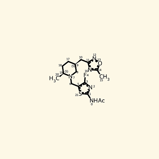 CC(=O)Nc1nc(F)c(CN2C[C@H](Cc3noc(C)n3)CC[C@@H]2C)s1